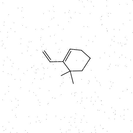 C=CC1=CCCCC1(C)C